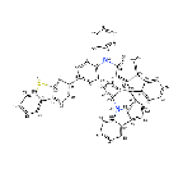 c1ccc(N(c2ccc(-c3ccc4c(c3)sc3ccccc34)cc2)c2ccc3c(c2)C2(c4ccccc4-3)c3ccccc3-n3c4ccccc4c4cccc2c43)cc1